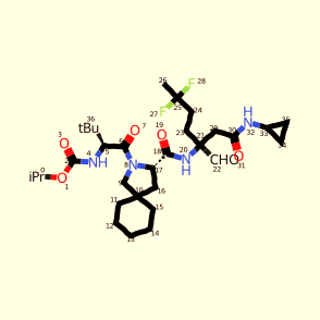 CC(C)OC(=O)N[C@H](C(=O)N1CC2(CCCCC2)C[C@H]1C(=O)NC(C=O)(CCC(C)(F)F)CC(=O)NC1CC1)C(C)(C)C